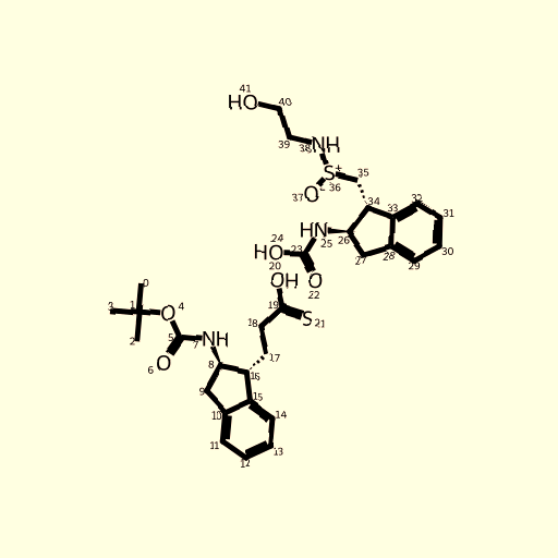 CC(C)(C)OC(=O)N[C@@H]1Cc2ccccc2[C@H]1CCC(O)=S.O=C(O)N[C@@H]1Cc2ccccc2[C@H]1C[S+]([O-])NCCO